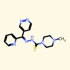 CN1CCN(C(=S)N/N=C(\c2ccnnc2)c2ccccn2)CC1